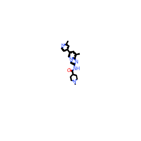 Cc1cc(-c2cc(C)c3nc(NC(=O)C4CCN(C)CC4)cn3c2)ccn1